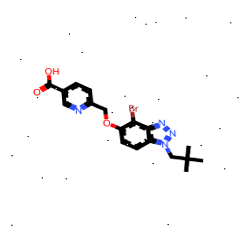 CC(C)(C)Cn1nnc2c(Br)c(OCc3ccc(C(=O)O)cn3)ccc21